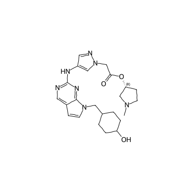 CN1CC[C@@H](OC(=O)Cn2cc(Nc3ncc4ccn(CC5CCC(O)CC5)c4n3)cn2)C1